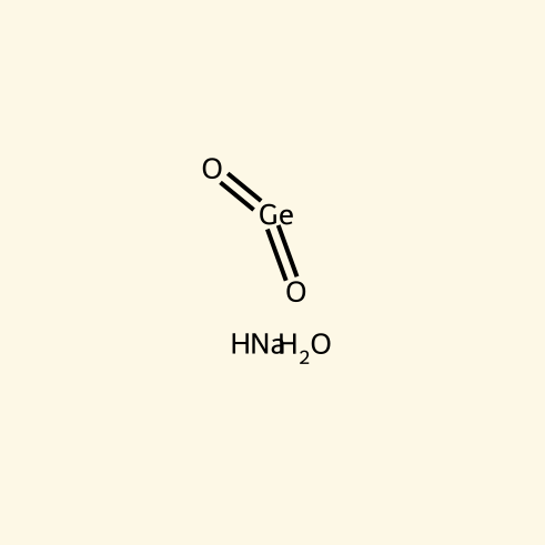 O.[NaH].[O]=[Ge]=[O]